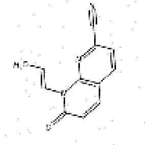 CC=Cn1c(=O)ccc2ccc(C#N)nc21